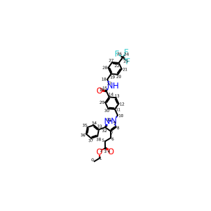 CCOC(=O)CCc1cn(Cc2ccc(C(=O)NCc3ccc(C(F)(F)F)cc3)cc2)nc1-c1ccccc1